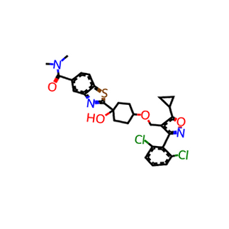 CN(C)C(=O)c1ccc2sc(C3(O)CCC(OCc4c(-c5c(Cl)cccc5Cl)noc4C4CC4)CC3)nc2c1